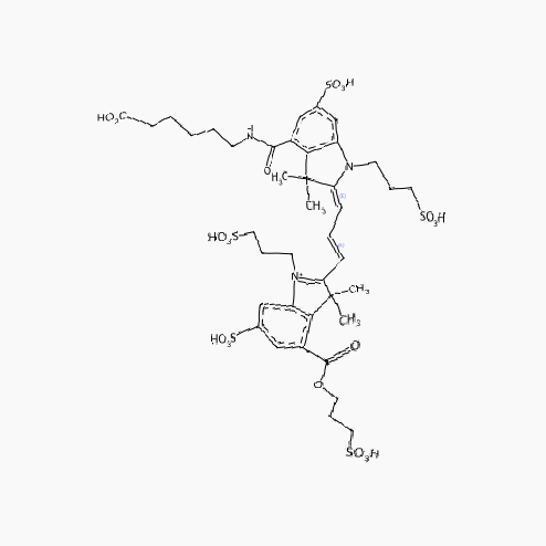 CC1(C)C(/C=C/C=C2/N(CCCS(=O)(=O)O)c3cc(S(=O)(=O)O)cc(C(=O)NCCCCCC(=O)O)c3C2(C)C)=[N+](CCCS(=O)(=O)O)c2cc(S(=O)(=O)O)cc(C(=O)OCCCS(=O)(=O)O)c21